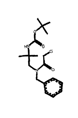 CC(C)(CN(Cc1ccccc1)C(=O)CCl)NC(=O)OC(C)(C)C